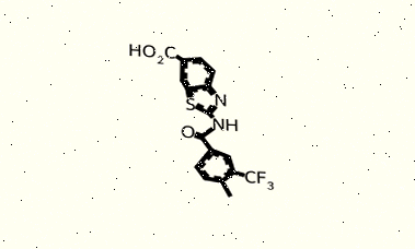 Cc1ccc(C(=O)Nc2nc3ccc(C(=O)O)cc3s2)cc1C(F)(F)F